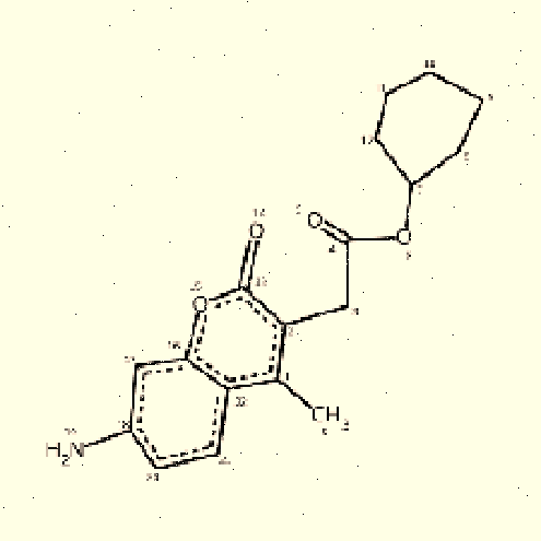 Cc1c(CC(=O)OC2CCCCC2)c(=O)oc2cc(N)ccc12